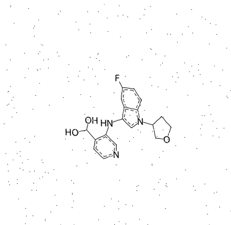 OC(O)c1ccncc1Nc1cn(C2CCOC2)c2ccc(F)cc12